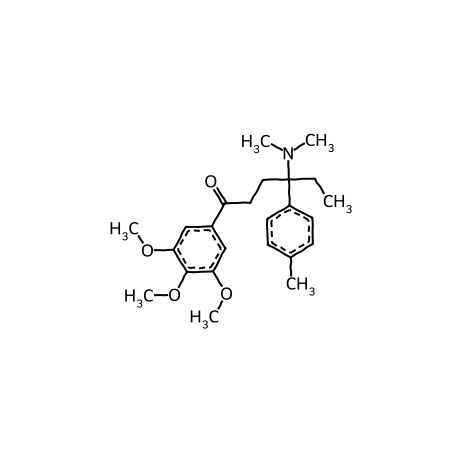 CCC(CCC(=O)c1cc(OC)c(OC)c(OC)c1)(c1ccc(C)cc1)N(C)C